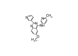 COc1ccc2nc(-c3cccnc3)nc(Nc3ccc(C)nc3)c2c1